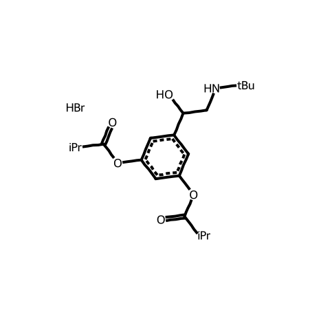 Br.CC(C)C(=O)Oc1cc(OC(=O)C(C)C)cc(C(O)CNC(C)(C)C)c1